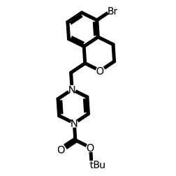 CC(C)(C)OC(=O)N1C=CN(CC2OCCc3c(Br)cccc32)C=C1